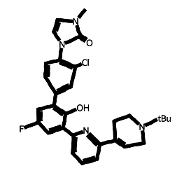 Cn1ccn(-c2ccc(-c3cc(F)cc(-c4cccc(C5=CCN(C(C)(C)C)CC5)n4)c3O)cc2Cl)c1=O